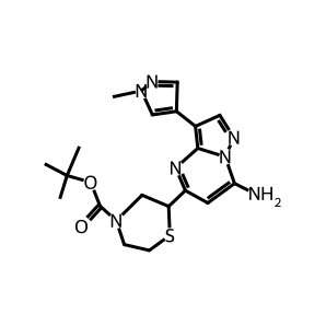 Cn1cc(-c2cnn3c(N)cc(C4CN(C(=O)OC(C)(C)C)CCS4)nc23)cn1